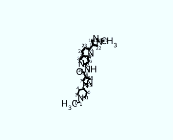 CCN1CCC(n2cc(C(=O)Nc3cc4nc(-c5cnn(C)c5)ccc4cn3)cn2)CC1